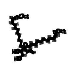 C=CCC(CCCCCCCC/C=C\CCCCCCCC)(OCCCCCCCC/C=C\CCCCCCCC)C(O)CO